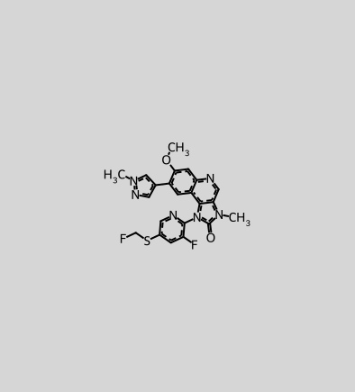 COc1cc2ncc3c(c2cc1-c1cnn(C)c1)n(-c1ncc(SCF)cc1F)c(=O)n3C